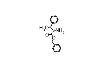 CC(c1ccccc1)N(N)C(=O)OCc1ccccc1